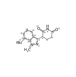 Cn1nc(C2CCC(=O)NC2=O)c2cccc(C(C)(C)C)c21